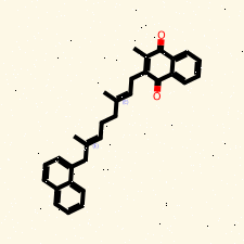 CC1=C(C/C=C(\C)CC/C=C(\C)Cc2cccc3ccccc23)C(=O)c2ccccc2C1=O